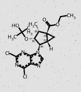 CCOC(=O)[C@@]12C[C@@H]1[C@@H](n1cnc3c(Cl)nc(Cl)nc31)[C@H](OC(C)(C)O)[C@@H]2C